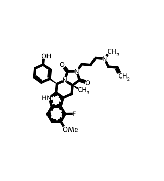 C=CCN(C)CCCN1C(=O)N2[C@H](C3=CC(O)CC=C3)c3[nH]c4ccc(OC)c(F)c4c3C[C@@]2(C)C1=O